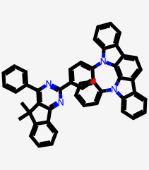 CC1(C)c2ccccc2-c2nc(-c3ccc(-n4c5ccccc5c5ccc6c7ccccc7n(-c7ccccc7)c6c54)cc3)nc(-c3ccccc3)c21